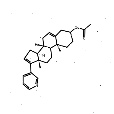 CC(=O)OC1CC[C@@]2(C)C(=CC[C@@H]3C2CC[C@]2(C)C(c4cccnc4)=CC[C@@H]32)C1